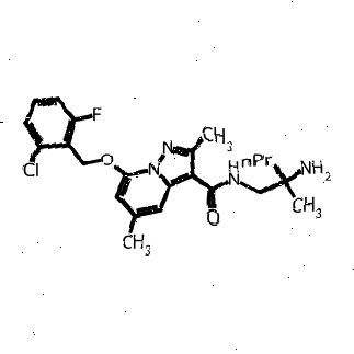 CCCC(C)(N)CNC(=O)c1c(C)nn2c(OCc3c(F)cccc3Cl)cc(C)cc12